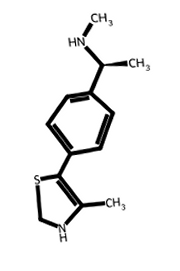 CN[C@@H](C)c1ccc(C2=C(C)NCS2)cc1